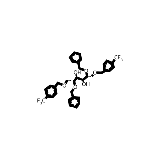 O[C@@H]([C@H](O)[C@@H](COCc1ccc(C(F)(F)F)cc1)OCc1ccccc1)[C@@H](COCc1ccc(C(F)(F)F)cc1)OCc1ccccc1